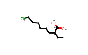 CCC(CCCCCCCl)C(=O)O